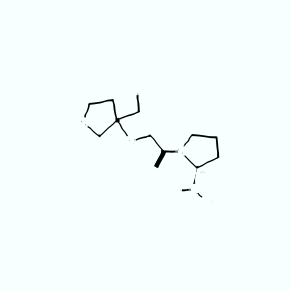 CCC1(NCC(=O)N2CCC[C@H]2B(O)O)CCNC1